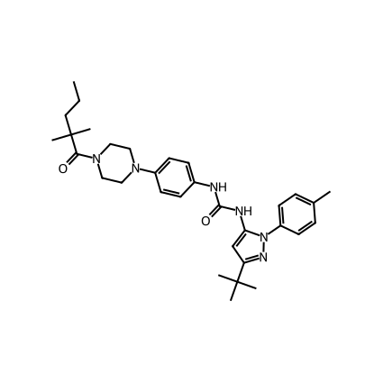 CCCC(C)(C)C(=O)N1CCN(c2ccc(NC(=O)Nc3cc(C(C)(C)C)nn3-c3ccc(C)cc3)cc2)CC1